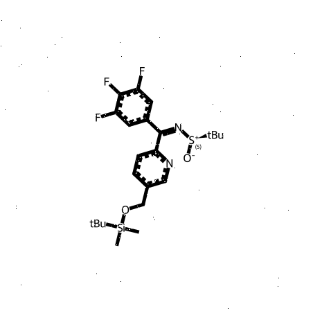 CC(C)(C)[S@@+]([O-])N=C(c1cc(F)c(F)c(F)c1)c1ccc(CO[Si](C)(C)C(C)(C)C)cn1